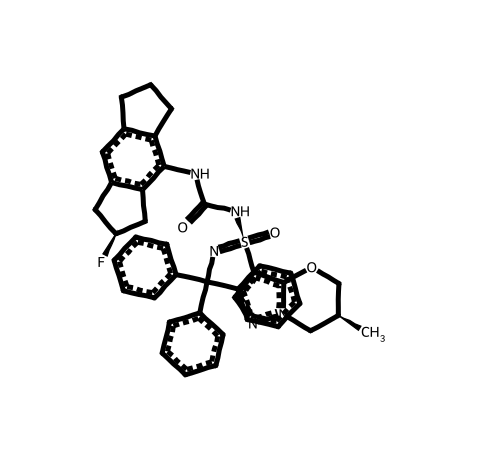 C[C@@H]1COc2c([S@@](=O)(=NC(c3ccccc3)(c3ccccc3)c3ccccc3)NC(=O)Nc3c4c(cc5c3C[C@@H](F)C5)CCC4)cnn2C1